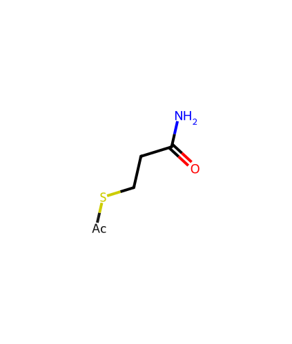 CC(=O)SCCC(N)=O